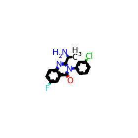 CC(N)c1nc2ccc(F)cc2c(=O)n1-c1cccc(Cl)c1